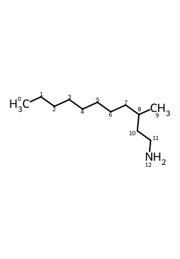 CCCCCCCCC(C)CCN